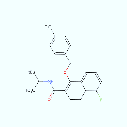 CC(C)(C)C(NC(=O)c1ccc2c(F)cccc2c1OCc1ccc(C(F)(F)F)cc1)C(=O)O